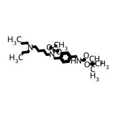 CCCN(CCC)CCCCN(Cc1ccc(CNC(=O)OC(C)(C)C)cc1)S(C)(=O)=O